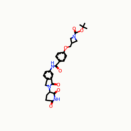 CC(C)(C)OC(=O)N1CC(COc2ccc(C(=O)Nc3ccc4c(c3)C(=O)N(C3CCC(=O)NC3=O)C4)cc2)C1